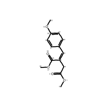 COC(=O)CC(=Cc1ccc(OC)cc1)C(=O)OC